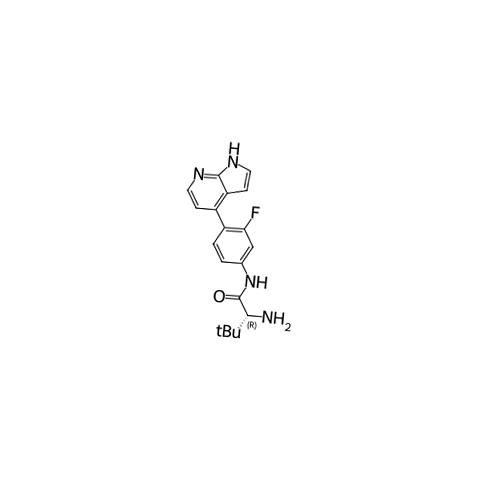 CC(C)(C)[C@@H](N)C(=O)Nc1ccc(-c2ccnc3[nH]ccc23)c(F)c1